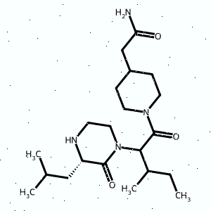 CCC(C)C(C(=O)N1CCC(CC(N)=O)CC1)N1CCN[C@@H](CC(C)C)C1=O